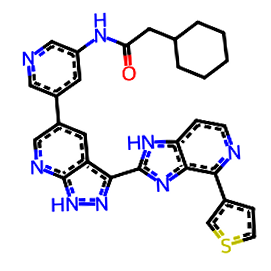 O=C(CC1CCCCC1)Nc1cncc(-c2cnc3[nH]nc(-c4nc5c(-c6ccsc6)nccc5[nH]4)c3c2)c1